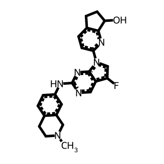 CN1CCc2ccc(Nc3ncc4c(F)cn(-c5ccc6c(n5)C(O)CC6)c4n3)cc2C1